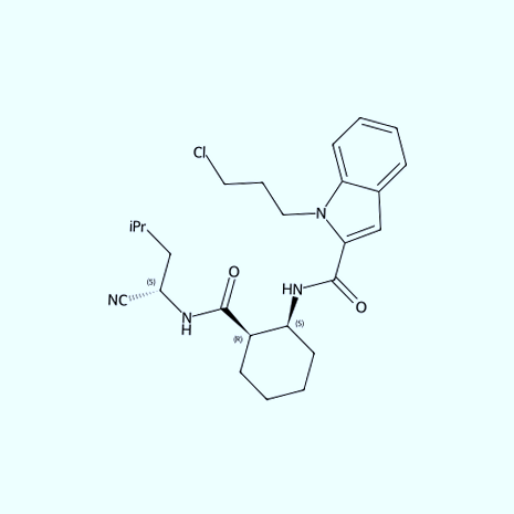 CC(C)C[C@@H](C#N)NC(=O)[C@@H]1CCCC[C@@H]1NC(=O)c1cc2ccccc2n1CCCCl